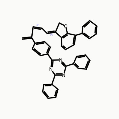 C=C(/C=C\C=C1/COc2c1cccc2-c1ccccc1)c1ccc(-c2nc(-c3ccccc3)nc(-c3ccccc3)n2)cc1